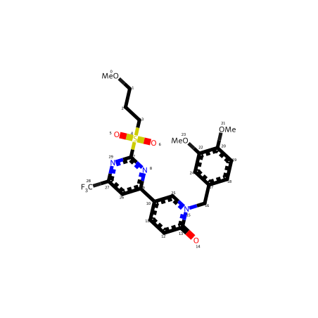 COCCCS(=O)(=O)c1nc(-c2ccc(=O)n(Cc3ccc(OC)c(OC)c3)c2)cc(C(F)(F)F)n1